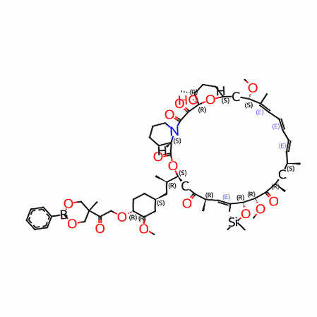 CO[C@H]1C[C@@H]2CC[C@@H](C)[C@@](O)(O2)C(=O)C(=O)N2CCCC[C@H]2C(=O)O[C@H]([C@H](C)C[C@@H]2CC[C@@H](OCC(=O)C3(C)COB(c4ccccc4)OC3)[C@H](OC)C2)CC(=O)[C@H](C)/C=C(\C)[C@@H](O[Si](C)(C)C)[C@@H](OC)C(=O)[C@H](C)C[C@H](C)/C=C/C=C/C=C/1C